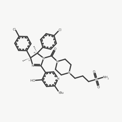 CC(C)(C)c1cc(O)c(C2=N[C@@](C)(c3ccc(Cl)cc3)[C@@](C)(c3ccc(Cl)cc3)N2C(=O)N2CCN(CCCS(N)(=O)=O)CC2)cn1